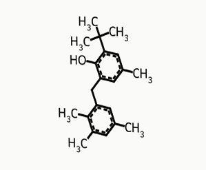 Cc1cc(C)c(C)c(Cc2cc(C)cc(C(C)(C)C)c2O)c1